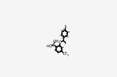 CC(Oc1cc(C(F)(F)F)ccc1B(O)O)c1ccc(F)cc1